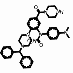 CN(C)c1ccc(N(C(N)=O)c2cc(C(=O)N3CCNCC3)ccc2N2CCN(C(c3ccccc3)c3ccccc3)CC2)cc1